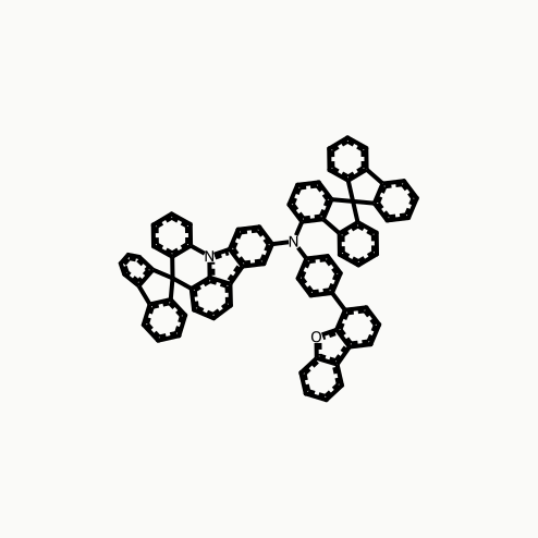 c1ccc2c(c1)-c1ccccc1C21c2ccccc2-c2c(N(c3ccc(-c4cccc5c4oc4ccccc45)cc3)c3ccc4c(c3)c3cccc5c3n4-c3ccccc3C53c4ccccc4-c4ccccc43)cccc21